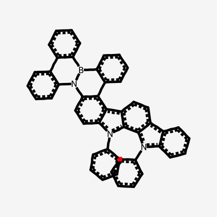 c1ccc(-n2c3ccccc3c3ccc4c5c6c(ccc5n(-c5ccccc5)c4c32)N2B(c3ccccc3-c3ccccc32)c2ccccc2-6)cc1